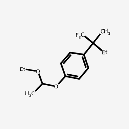 CCOC(C)Oc1ccc(C(C)(CC)C(F)(F)F)cc1